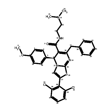 COc1ccc([C@H]2C(C(=O)NCCN(C)C)=C(Cc3ccccc3)N=C3SC(c4c(Cl)cccc4Cl)=CN32)cc1